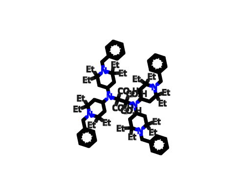 CCC1(CC)CC(N(C2CC(CC)(CC)N(Cc3ccccc3)C(CC)(CC)C2)C(C(=O)O)(C(=O)O)C(C(=O)O)(C(=O)O)N(C2CC(CC)(CC)N(Cc3ccccc3)C(CC)(CC)C2)C2CC(CC)(CC)N(Cc3ccccc3)C(CC)(CC)C2)CC(CC)(CC)N1Cc1ccccc1